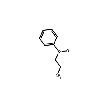 [O-][S+](CCC(F)(F)F)c1ccccc1